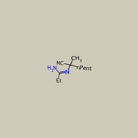 CCCCCC(C)(C#N)N=C(N)CC